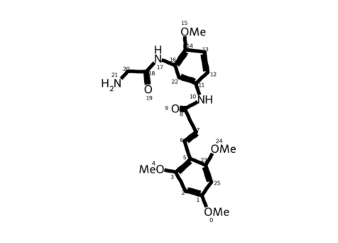 COc1cc(OC)c(C=CC(=O)Nc2ccc(OC)c(NC(=O)CN)c2)c(OC)c1